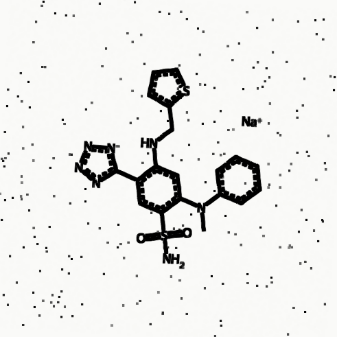 CN(c1ccccc1)c1cc(NCc2cccs2)c(-c2nnn[n-]2)cc1S(N)(=O)=O.[Na+]